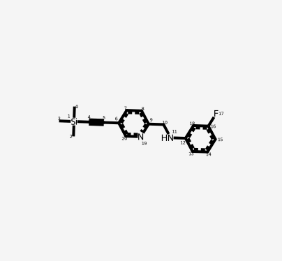 C[Si](C)(C)C#Cc1ccc(CNc2cccc(F)c2)nc1